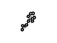 c1ccc(-c2cccc3c2oc2ccc(-c4ccc(N(c5cc6ccccc6c6ccccc56)c5cccc6c5sc5c7ccccc7ccc65)cc4)cc23)cc1